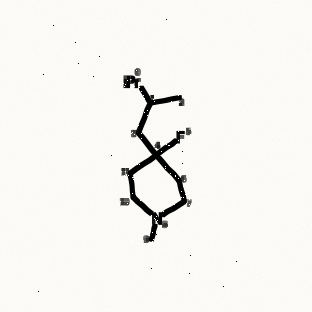 CC(C)C(C)CC1(F)CCN(C)CC1